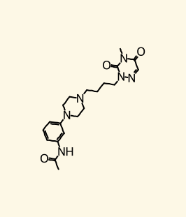 CC(=O)Nc1cccc(N2CCN(CCCCn3ncc(=O)n(C)c3=O)CC2)c1